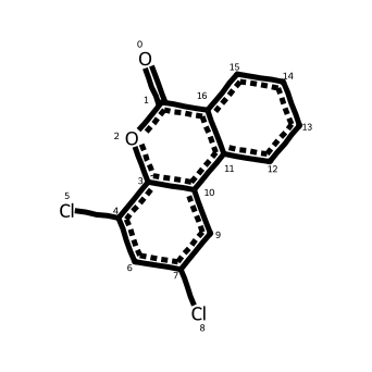 O=c1oc2c(Cl)cc(Cl)cc2c2ccccc12